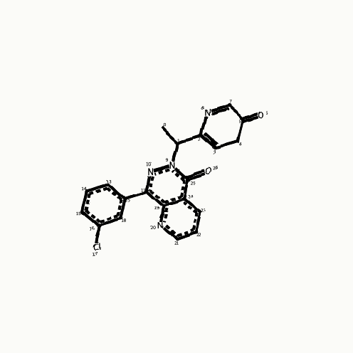 CC(C1=CCC(=O)C=N1)n1nc(-c2cccc(Cl)c2)c2ncccc2c1=O